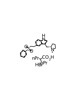 Br.CCCC(CCC)C(=O)O.CN1CCC[C@@H]1Cc1c[nH]c2ccc(CCS(=O)(=O)c3ccccc3)cc12